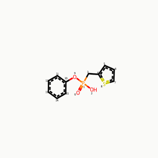 O=P(O)(Cc1cccs1)Oc1ccccc1